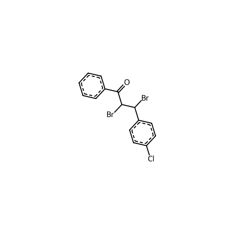 O=C(c1ccccc1)C(Br)C(Br)c1ccc(Cl)cc1